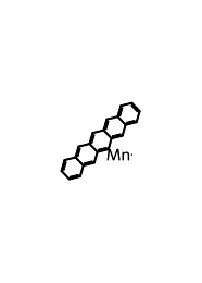 [Mn].c1ccc2cc3cc4cc5ccccc5cc4cc3cc2c1